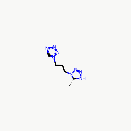 C[C@H]1NN=NN1CCCn1cnnn1